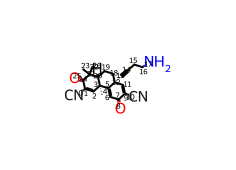 [C-]#[N+]C1=C[C@]2(C)C3=CC(=O)C(C#N)=C[C@]3(C#CCCN)CC[C@H]2C(C)(C)C1=O